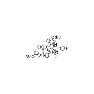 CCOC(=O)C1=C([C@H]2CCCN2C(=O)OC(C)(C)C)NC(CCc2ccc(F)cc2)=C(c2noc(=O)n2C)C1c1cc2ccnc(N[C@@H]3CCc4c(OC)cccc43)c2s1